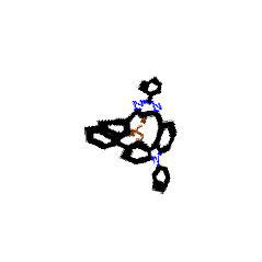 c1ccc(-c2ccc3c(c2)c2c(-c4nc(-c5ccccc5)nc5c4sc4ccccc45)cccc2n3-c2ccccc2)cc1